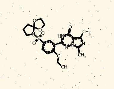 CCOc1ccc(S(=O)(=O)N2CCCC23OCCO3)cc1-c1nn2c(C)nc(C)c2c(=O)[nH]1